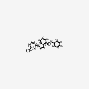 Clc1nccc(-n2ccc3c(OCc4ccccc4)cccc32)n1